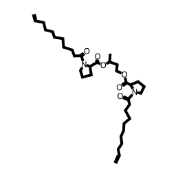 C=CCCCCCCCCC(=O)N1CCCC1C(=O)OCCC(C)OC(=O)C1CCCN1C(=O)CCCCCCCCC=C